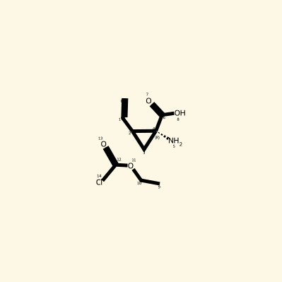 C=CC1C[C@]1(N)C(=O)O.CCOC(=O)Cl